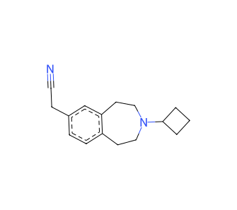 N#CCc1ccc2c(c1)CCN(C1CCC1)CC2